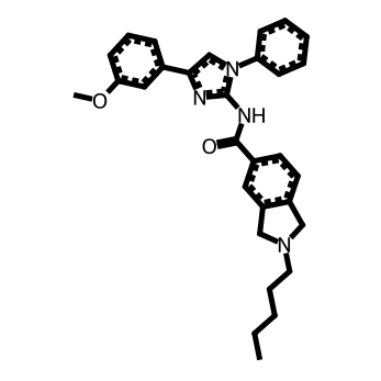 CCCCCN1Cc2ccc(C(=O)Nc3nc(-c4cccc(OC)c4)cn3-c3ccccc3)cc2C1